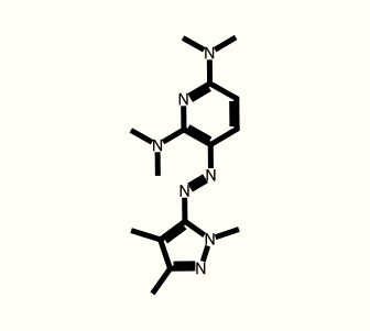 Cc1nn(C)c(N=Nc2ccc(N(C)C)nc2N(C)C)c1C